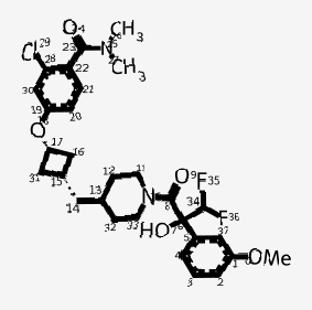 COc1cccc(C(O)(C(=O)N2CCC(C[C@H]3C[C@@H](Oc4ccc(C(=O)N(C)C)c(Cl)c4)C3)CC2)C(F)F)c1